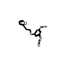 O=C=Nc1cc(N=C=O)cc(OCCc2ccco2)c1